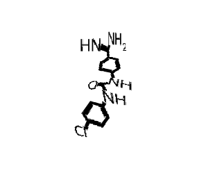 N=C(N)c1ccc(NC(=O)Nc2ccc(Cl)cc2)cc1